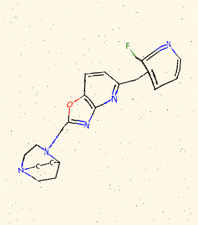 Fc1ncccc1-c1ccc2oc(N3CCN4CCC3CC4)nc2n1